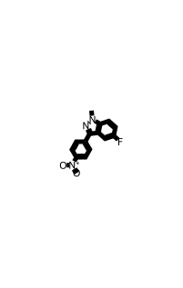 Cn1nc(-c2ccc([N+](=O)[O-])cc2)c2cc(F)ccc21